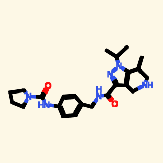 CC1CNCc2c(C(=O)NCc3ccc(NC(=O)N4CCCC4)cc3)nn(C(C)C)c21